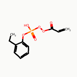 C=CC(=O)OOP(=O)(O)Oc1ccccc1CC